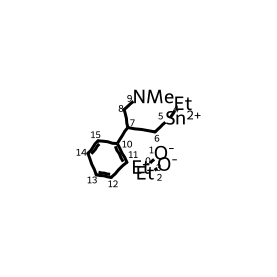 CC[O-].CC[O-].C[CH2][Sn+2][CH2]C(CNC)c1ccccc1